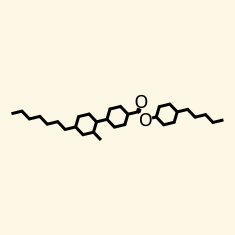 CCCCCCCC1CCC(C2CCC(C(=O)OC3CCC(CCCCC)CC3)CC2)C(C)C1